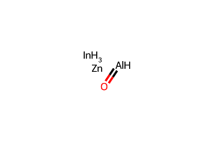 [InH3].[O]=[AlH].[Zn]